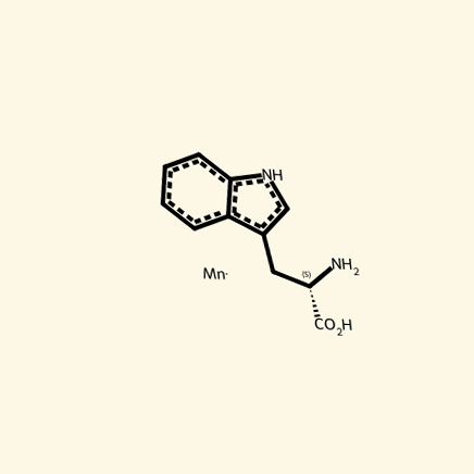 N[C@@H](Cc1c[nH]c2ccccc12)C(=O)O.[Mn]